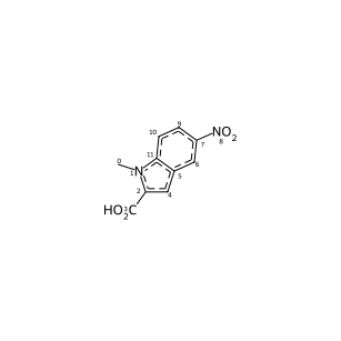 Cn1c(C(=O)O)cc2cc([N+](=O)[O-])ccc21